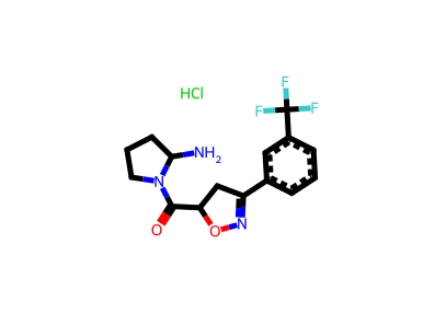 Cl.NC1CCCN1C(=O)C1CC(c2cccc(C(F)(F)F)c2)=NO1